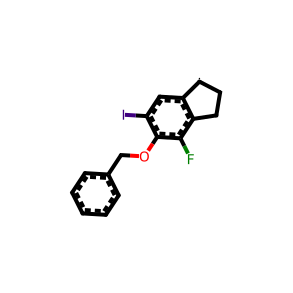 Fc1c2c(cc(I)c1OCc1ccccc1)[CH]CC2